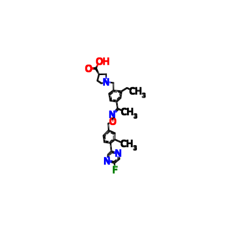 CCc1cc(/C(C)=N/OCc2ccc(-c3cnc(F)cn3)c(C)c2)ccc1CN1CC[C@@H](C(=O)O)C1